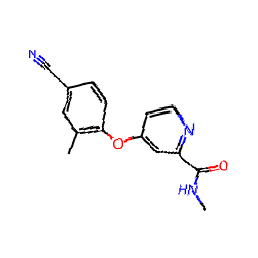 CNC(=O)c1cc(Oc2ccc(C#N)cc2C)ccn1